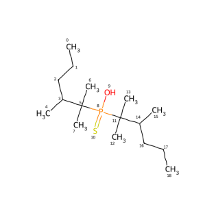 CCCC(C)C(C)(C)P(O)(=S)C(C)(C)C(C)CCC